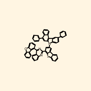 c1ccc(-c2ccc3c(c2)c2c4ccccc4c(-c4ccccc4)cc2n3-c2cc(-c3nc(-c4cccc5oc6ccccc6c45)c4ccccc4n3)c3sc4ccccc4c3c2)cc1